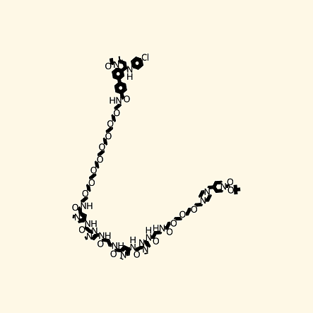 CC(=O)N1c2ccc(-c3ccc(C(=O)NCCOCCOCCOCCOCCOCCOCCOCCOCCNC(=O)c4cc(NC(=O)c5nc(NC(=O)CCNC(=O)c6cc(NC(=O)c7nc(NC(=O)CCNC(=O)COCCOCCOCCN8CCN(CC9CCN(C(=O)OC(C)(C)C)CC9)CC8)cn7C)cn6C)cn5C)cn4C)cc3)cc2[C@H](Nc2ccc(Cl)cc2)C[C@@H]1C